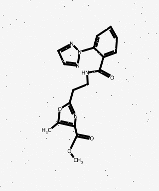 COC(=O)c1nc(CCNC(=O)c2ccccc2-n2nccn2)oc1C